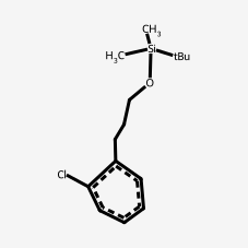 CC(C)(C)[Si](C)(C)OCCCc1ccccc1Cl